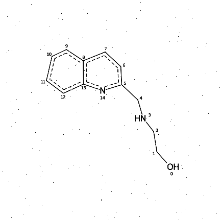 OCCNCc1ccc2ccccc2n1